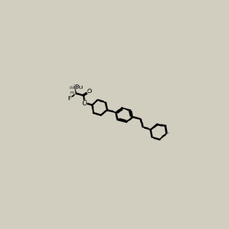 CC[C@H](C)[C@H](F)C(=O)OC1CCC(c2ccc(CCC3CC[CH]CC3)cc2)CC1